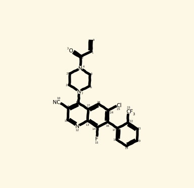 C=CC(=O)N1CCN(c2c(C#N)cnc3c(F)c(-c4ccccc4C(F)(F)F)c(Cl)cc23)CC1